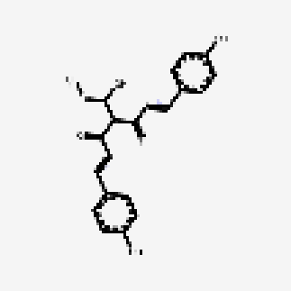 COC(O)C(C(=O)/C=C/c1ccc(O)cc1)C(=O)/C=C/c1ccc(O)cc1